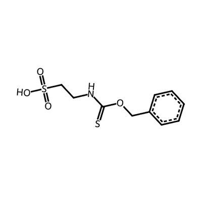 O=S(=O)(O)CCNC(=S)OCc1ccccc1